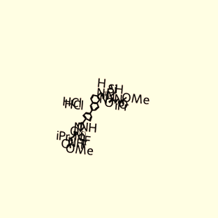 COC(=O)N[C@H](C(=O)N1CC(F)(F)C[C@H]1c1ncc(-c2ccc(-c3ccc4c(ccc5[nH]c([C@@H]6C[Si](C)(C)CN6C(=O)[C@@H](NC(=O)OC)C(C)C)nc54)c3)cc2)[nH]1)C(C)C.Cl.Cl